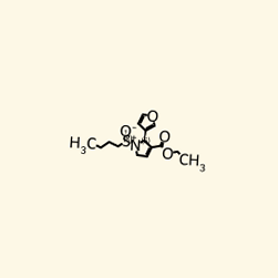 CCCC[S@+]([O-])N1CC=C(C(=O)OCC)[C@@H]1c1ccoc1